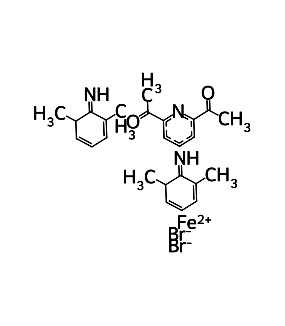 CC(=O)c1cccc(C(C)=O)n1.CC1=CC=CC(C)C1=N.CC1=CC=CC(C)C1=N.[Br-].[Br-].[Fe+2]